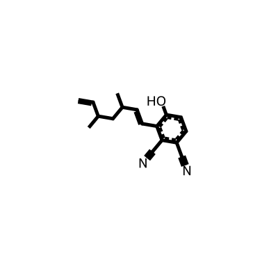 C=CC(C)CC(C)C=Cc1c(O)ccc(C#N)c1C#N